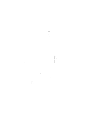 NC(=O)c1cccc2c1NCCN2